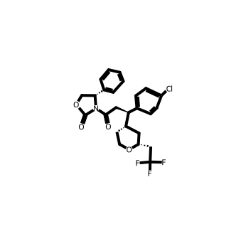 O=C(C[C@@H](c1ccc(Cl)cc1)[C@H]1CCO[C@@H](CC(F)(F)F)C1)N1C(=O)OC[C@@H]1c1ccccc1